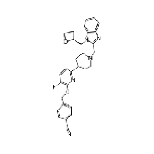 N#Cc1ccc(COc2nc(C3CCN(Cc4nc5ccccc5n4C[C@@H]4CCO4)CC3)ccc2F)cc1